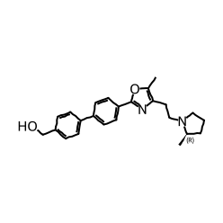 Cc1oc(-c2ccc(-c3ccc(CO)cc3)cc2)nc1CCN1CCC[C@H]1C